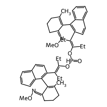 CC/C(O[PH](=O)O/C(CC)=C(\CC)c1ccc2ccccc2c1C1=C(C)CCC/C1=N\OC)=C(/CC)c1ccc2ccccc2c1C1=C(C)CCC/C1=N\OC